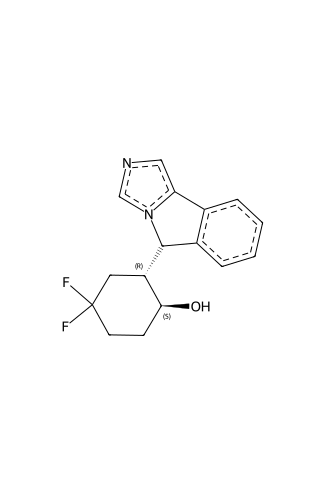 O[C@H]1CCC(F)(F)C[C@@H]1C1c2ccccc2-c2cncn21